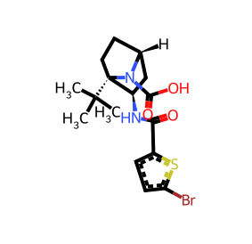 CC(C)(C)[C@@]12CC[C@H](C[C@H]1NC(=O)c1ccc(Br)s1)N2C(=O)O